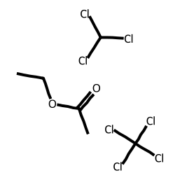 CCOC(C)=O.ClC(Cl)(Cl)Cl.ClC(Cl)Cl